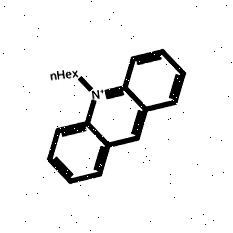 CCCCCC[n+]1c2ccccc2cc2ccccc21